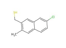 Cc1cc2ccc(Cl)cc2cc1CS